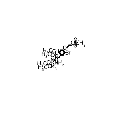 CC(C)(C)OC(=O)/N=C(\N)N(Cc1ccc(OCCCOS(C)(=O)=O)c(Br)c1)C(=O)OC(C)(C)C